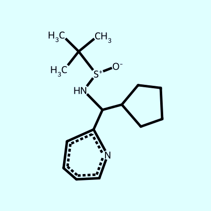 CC(C)(C)[S+]([O-])NC(c1ccccn1)C1CCCC1